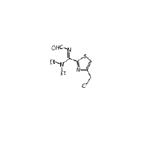 CCN(CC)C(=NC=O)c1nc(CCl)cs1